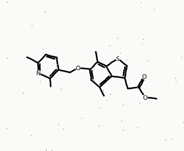 COC(=O)Cc1csc2c(C)c(OCc3ccc(C)nc3C)cc(C)c12